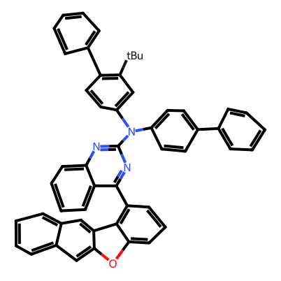 CC(C)(C)c1cc(N(c2ccc(-c3ccccc3)cc2)c2nc(-c3cccc4oc5cc6ccccc6cc5c34)c3ccccc3n2)ccc1-c1ccccc1